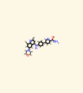 Cc1cc(Nc2ccc(-c3ccc(C(N)=O)nc3)cc2)c2cc(N3CCOCC3)cc(C)c2n1